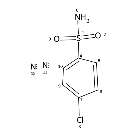 NS(=O)(=O)c1ccc(Cl)cc1.[N].[N]